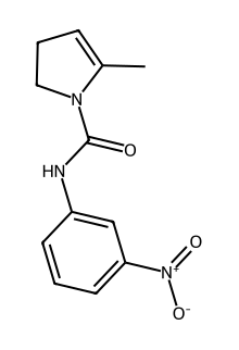 CC1=CCCN1C(=O)Nc1cccc([N+](=O)[O-])c1